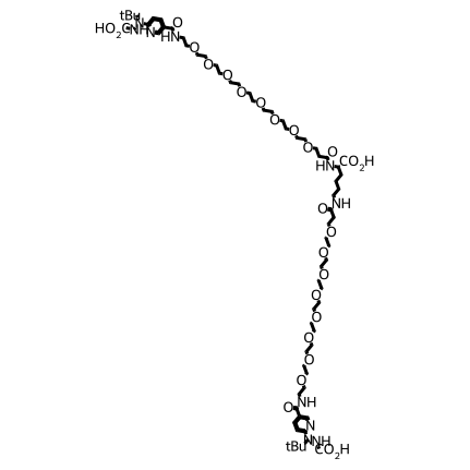 CC(C)(C)N(NC(=O)O)c1ccc(C(=O)NCCOCCOCCOCCOCCOCCOCCOCCOCCC(=O)NCCCC[C@H](NC(=O)CCOCCOCCOCCOCCOCCOCCOCCOCCNC(=O)c2ccc(N(NC(=O)O)C(C)(C)C)nc2)C(=O)O)cn1